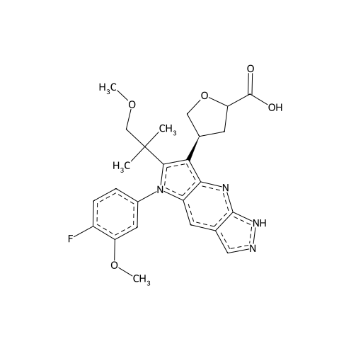 COCC(C)(C)c1c([C@H]2COC(C(=O)O)C2)c2nc3[nH]ncc3cc2n1-c1ccc(F)c(OC)c1